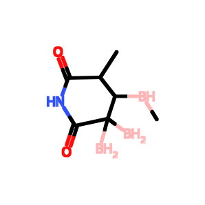 BC1(B)C(=O)NC(=O)C(C)C1BC